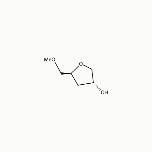 COC[C@@H]1C[C@@H](O)CO1